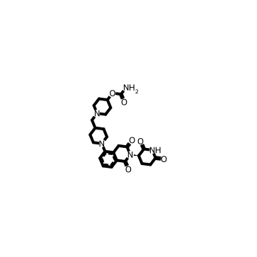 NC(=O)OC1CCN(CC2CCN(c3cccc4c3CC(=O)N([C@H]3CCC(=O)NC3=O)C4=O)CC2)CC1